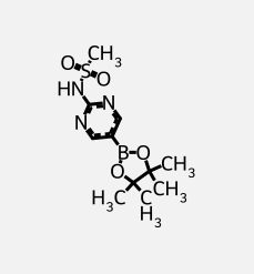 CC1(C)OB(c2cnc(NS(C)(=O)=O)nc2)OC1(C)C